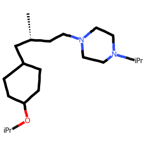 CC(C)OC1CCC(C[C@H](C)CCN2CCN(C(C)C)CC2)CC1